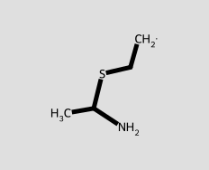 [CH2]CSC(C)N